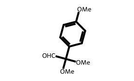 COc1ccc(C(C=O)(OC)OC)cc1